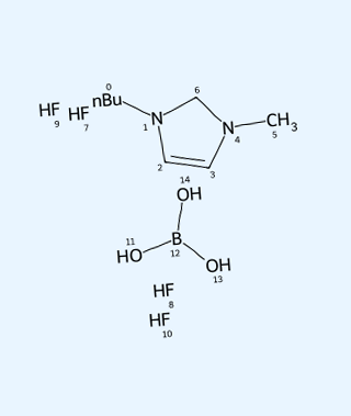 CCCCN1C=CN(C)C1.F.F.F.F.OB(O)O